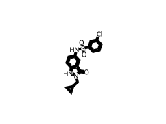 O=c1c2cc(NS(=O)(=O)c3cccc(Cl)c3)ccc2[nH]n1CC1CC1